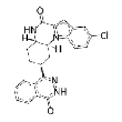 O=C1N[C@H]2CC[C@H](c3n[nH]c(=O)c4ccccc34)C[C@@H]2n2c1cc1cc(Cl)ccc12